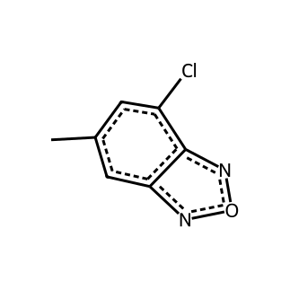 Cc1cc(Cl)c2nonc2c1